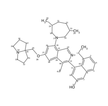 CCc1cccc2cc(O)cc(-c3ncc4c(N5CC(C)CCC(C)C5)cc(OCC56CCCN5CCC6)cc4c3F)c12